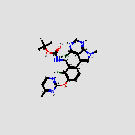 Cc1ccnc(Oc2ccc(-c3cn(C)c4ncnc(Cl)c34)c(CNC(=O)OC(C)(C)C)c2F)n1